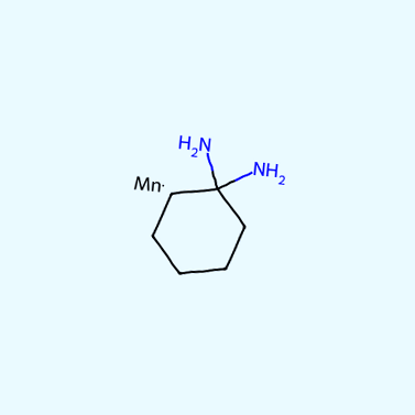 NC1(N)CCCCC1.[Mn]